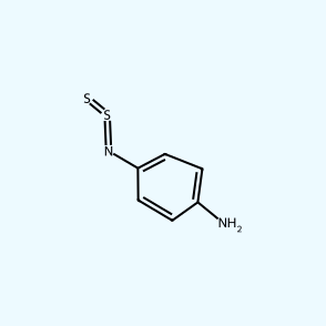 Nc1ccc(N=S=S)cc1